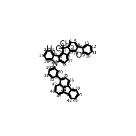 CC1(C)c2ccc3c(oc4ccccc43)c2-c2ccc3c(c21)c1ccccc1n3-c1cccc(C2=CC=C3c4ccccc4C4=CC=CC2C43)c1